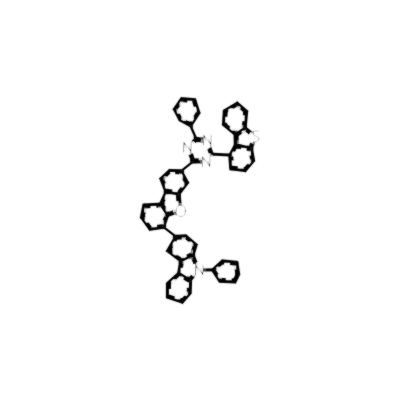 c1ccc(-c2nc(-c3ccc4c(c3)oc3c(-c5ccc6c(c5)c5ccccc5n6-c5ccccc5)cccc34)nc(-c3cccc4sc5ccccc5c34)n2)cc1